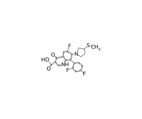 CSC1CCN(c2c(F)cc3c(=O)c(C(=O)O)c[nH]c3c2-c2ccc(F)cc2F)C1